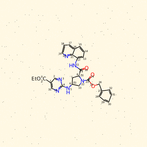 CCOC(=O)c1cnc(N[C@H]2C[C@@H](C(=O)Nc3cccc4cccnc34)N(C(=O)OCc3ccccc3)C2)nc1